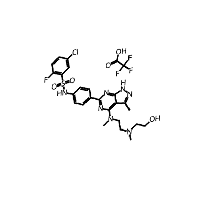 Cc1n[nH]c2nc(-c3ccc(NS(=O)(=O)c4cc(Cl)ccc4F)cc3)nc(N(C)CCN(C)CCO)c12.O=C(O)C(F)(F)F